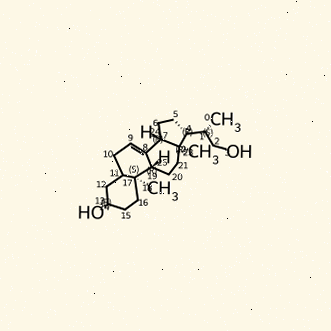 C[C@H](CO)[C@H]1CC[C@H]2C3=CCC4C[C@H](O)CC[C@]4(C)[C@H]3CC[C@]12C